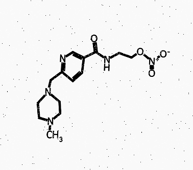 CN1CCN(Cc2ccc(C(=O)NCCO[N+](=O)[O-])cn2)CC1